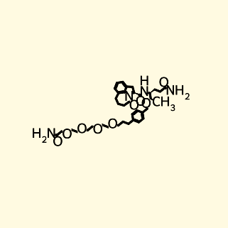 C[C@@H](OCc1ccc(CCCOCCOCCOCCOCC(N)=O)cc1)[C@H](CCC(N)=O)NC(=O)[C@@H]1Cc2cccc3c2N1C(=O)CCC3